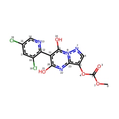 COC(=O)Oc1cnn2c(O)c(-c3ncc(Cl)cc3Cl)c(O)nc12